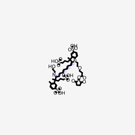 Cc1ccc(S(=O)(=O)O)cc1C(C)(CCCS(=O)(=O)O)C(/C=C/C=C/C=C/C=C1/N(CCOCCC(=O)ON2C(=O)CCC2=O)c2ccc(S(=O)(=O)O)cc2C1(C)CCCS(=O)(=O)O)=N/CCO